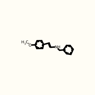 COc1ccc(C=CNCc2ccccc2)cc1